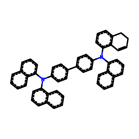 C1=Cc2c(cccc2N(c2ccc(-c3ccc(N(c4cccc5ccccc45)c4cccc5ccccc45)cc3)cc2)c2cccc3ccccc23)CC1